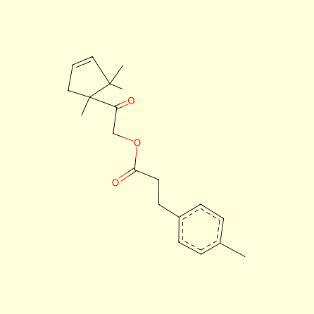 Cc1ccc(CCC(=O)OCC(=O)C2(C)CC=CC2(C)C)cc1